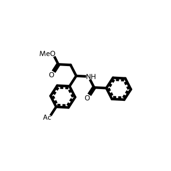 COC(=O)CC(NC(=O)c1ccccc1)c1ccc(C(C)=O)cc1